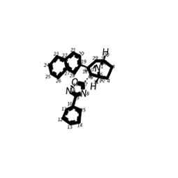 CN1[C@H]2CC[C@@H]1[C@H](c1nc(-c3ccccc3)no1)[C@@H](c1ccc3ccccc3c1)C2